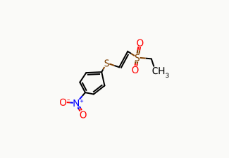 CCS(=O)(=O)/C=C/Sc1ccc([N+](=O)[O-])cc1